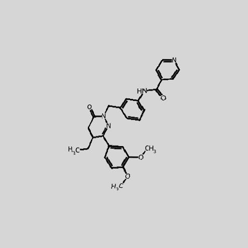 CCC1CC(=O)N(Cc2cccc(NC(=O)c3ccncc3)c2)N=C1c1ccc(OC)c(OC)c1